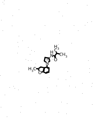 CC1Cc2c(cccc2N2CC[C@H](NC(=O)C(C)C)C2)O1